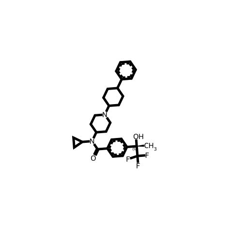 C[C@](O)(c1ccc(C(=O)N(C2CC2)C2CCN(C3CCC(c4ccccc4)CC3)CC2)cc1)C(F)(F)F